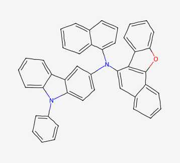 c1ccc(-n2c3ccccc3c3cc(N(c4cccc5ccccc45)c4cc5ccccc5c5oc6ccccc6c45)ccc32)cc1